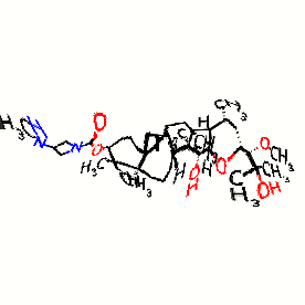 CNC1CN(C(=O)O[C@H]2CCC34C[C@]35CC[C@]3(C)[C@@H]6[C@H](O[C@@H]([C@H](OC)C(C)(C)O)C[C@H]6C)[C@H](O)[C@@]3(C)[C@@H]5CC[C@H]4C2(C)C)C1